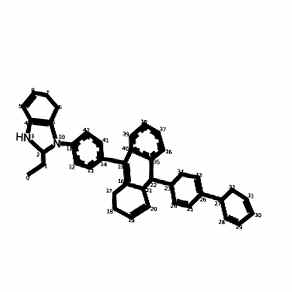 CCC1NC2=C(CCC=C2)N1c1ccc(C2=C3CCC=CC3C(C3C=CC(C4C=CC=CC4)=CC3)c3ccccc32)cc1